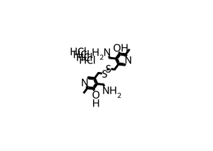 Cc1ncc(CSSCc2cnc(C)c(O)c2CN)c(CN)c1O.Cl.Cl.Cl.Cl